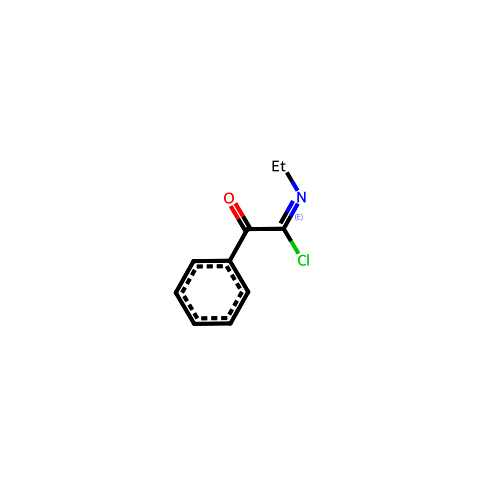 CC/N=C(/Cl)C(=O)c1ccccc1